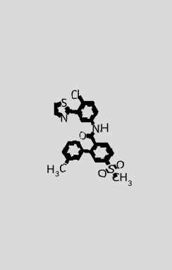 Cc1cccc(-c2cc(S(C)(=O)=O)ccc2C(=O)Nc2ccc(Cl)c(-c3nccs3)c2)c1